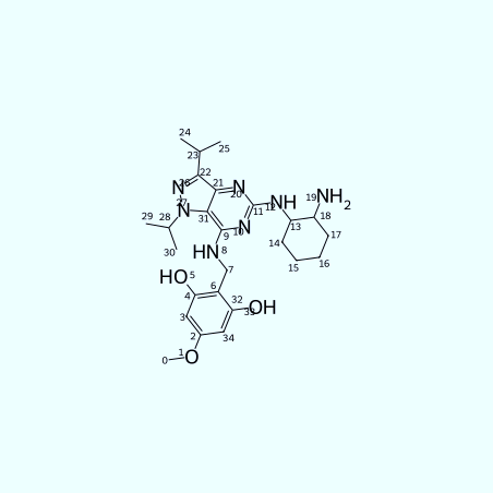 COc1cc(O)c(CNc2nc(NC3CCCCC3N)nc3c(C(C)C)nn(C(C)C)c23)c(O)c1